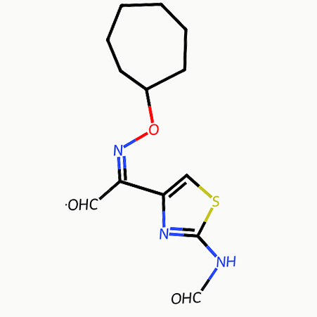 O=[C]C(=NOC1CCCCCC1)c1csc(NC=O)n1